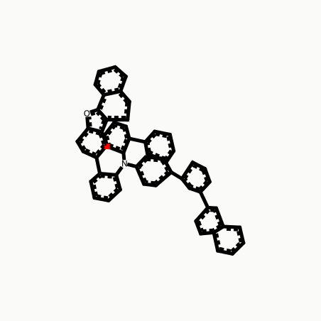 c1ccc(-c2ccccc2N(c2ccc(-c3cccc(-c4ccc5ccccc5c4)c3)cc2)c2ccccc2-c2ccc3oc4c5ccccc5ccc4c3c2)cc1